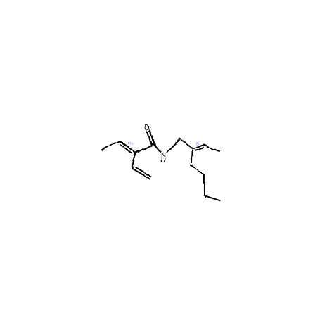 C=C/C(=C\C)C(=O)NC/C(=C/C)CCCC